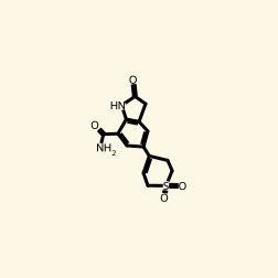 NC(=O)c1cc(C2=CCS(=O)(=O)CC2)cc2c1NC(=O)C2